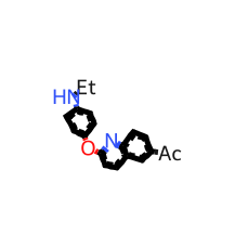 CCNc1ccc(Oc2ccc3cc(C(C)=O)ccc3n2)cc1